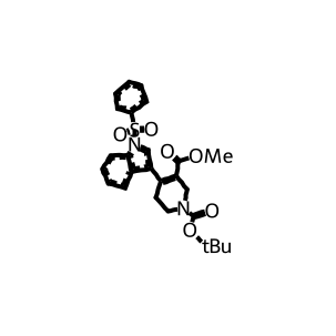 COC(=O)C1=C(c2cn(S(=O)(=O)c3ccccc3)c3ccccc23)CCN(C(=O)OC(C)(C)C)C1